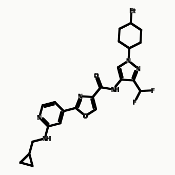 CCC1CCC(n2cc(NC(=O)c3coc(-c4ccnc(NCC5CC5)c4)n3)c(C(F)F)n2)CC1